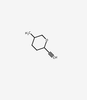 C#CC1CCC(C)CO1